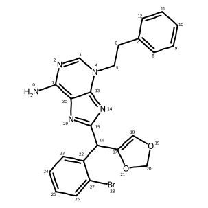 Nc1ncn(CCc2ccccc2)c2nc(C(C3=COCO3)c3ccccc3Br)nc1-2